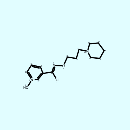 O[n+]1cccc(/C(Cl)=N/OCCCN2CCCCC2)c1